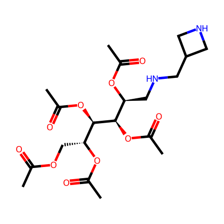 CC(=O)OC[C@@H](OC(C)=O)[C@@H](OC(C)=O)[C@H](OC(C)=O)[C@H](CNCC1CNC1)OC(C)=O